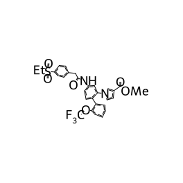 CCS(=O)(=O)c1ccc(CC(=O)Nc2ccc(-c3ccccc3OC(F)(F)F)c(-n3ccc(C(=O)OC)c3)c2)cc1